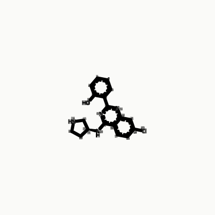 Oc1ccccc1-c1nc(N[C@H]2CCNC2)c2ccc(Cl)cc2n1